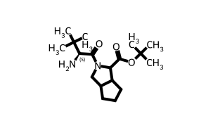 CC(C)(C)OC(=O)C1C2CCCC2CN1C(=O)[C@@H](N)C(C)(C)C